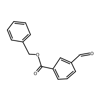 O=[C]c1cccc(C(=O)OCc2ccccc2)c1